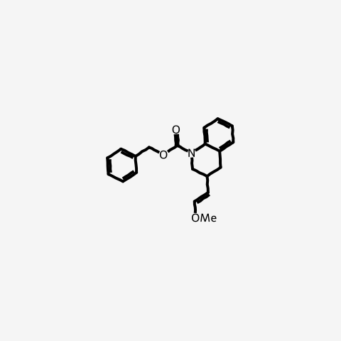 CO/C=C/C1Cc2ccccc2N(C(=O)OCc2ccccc2)C1